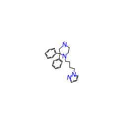 CN1CCN(CCCCn2cccn2)C(c2ccccc2)(c2ccccc2)C1